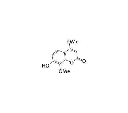 COc1cc(=O)oc2c(OC)c(O)ccc12